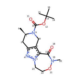 C[C@@H]1Cc2nn3c(c2CN1C(=O)OC(C)(C)C)C(=O)N(C)OCC3